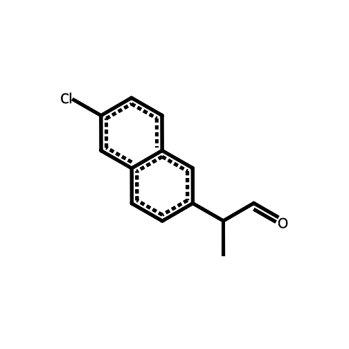 CC(C=O)c1ccc2cc(Cl)ccc2c1